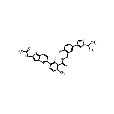 CC(=O)Nc1cn2nc(-c3ccc(C)c(C(=O)NCc4cc(-c5cnn(C(C)C)c5)ccc4F)c3F)ccc2n1